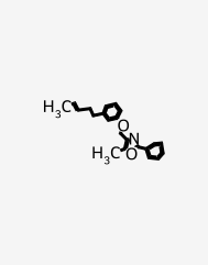 C/C=C/CCc1cccc(OCc2nc(-c3ccccc3)oc2C)c1